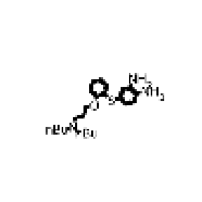 CCCCN(CCCC)CCCOc1ccccc1Sc1ccc(N)c(N)c1